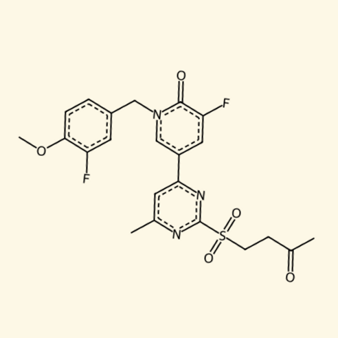 COc1ccc(Cn2cc(-c3cc(C)nc(S(=O)(=O)CCC(C)=O)n3)cc(F)c2=O)cc1F